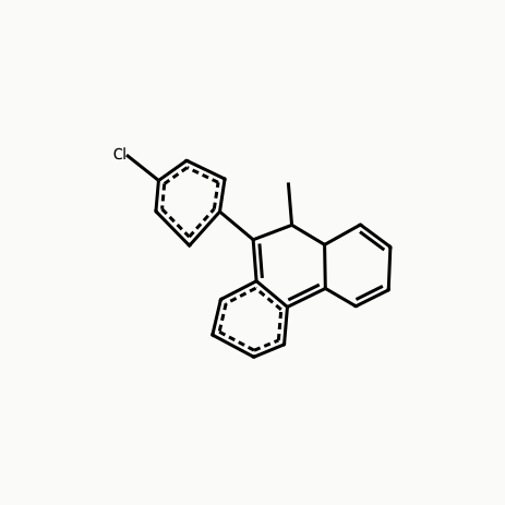 CC1C(c2ccc(Cl)cc2)=c2ccccc2=C2C=CC=CC21